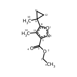 CCOC(=O)c1noc(C2(C)CC2)c1C